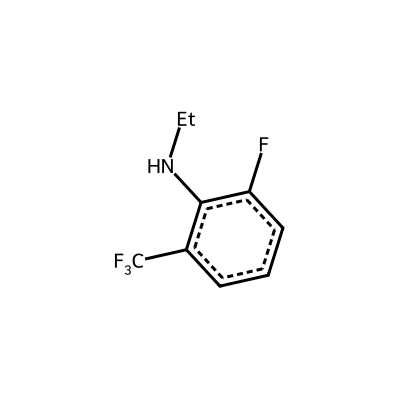 CCNc1c(F)cccc1C(F)(F)F